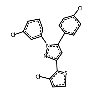 Clc1ccc(-c2cc(-c3sccc3Cl)nn2-c2cccc(Cl)c2)cc1